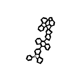 c1ccc(-n2c3ccccc3c3cc(-c4c5ccccc5c(-c5ccc6cc7c(cc6c5)C5(c6ccccc6-c6ccccc65)c5c-7ccc6ccccc56)c5ccccc45)ccc32)cc1